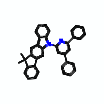 CC1(C)c2ccccc2-c2cc3c(cc21)c1ccccc1n3-c1cc(-c2ccccc2)cc(-c2ccccc2)n1